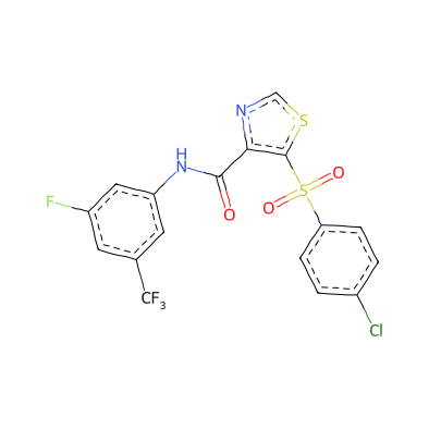 O=C(Nc1cc(F)cc(C(F)(F)F)c1)c1ncsc1S(=O)(=O)c1ccc(Cl)cc1